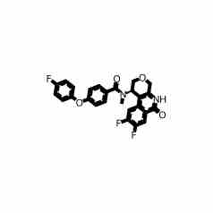 CN(C(=O)c1ccc(Oc2ccc(F)cc2)cc1)[C@H]1COCc2[nH]c(=O)c3cc(F)c(F)cc3c21